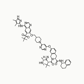 CN[C@@H](C)C(N)[C@@H](C(=O)N1Cc2cc(Oc3cc(N4CCC(COc5cc6ncnc(Nc7n[nH]c(C)c7C)c6cc5S(=O)(=O)C(C)(C)C)CC4)ncn3)ccc2C[C@H]1C(=O)N[C@@H]1CCCc2ccccc21)C(C)(C)C